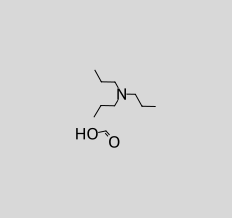 CCCN(CCC)CCC.O=CO